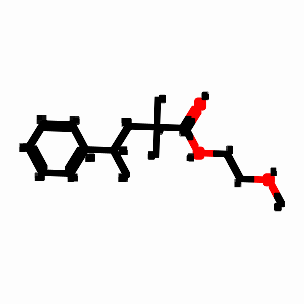 COCCOC(=O)C(C)(C)CC(C)c1ccccc1